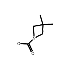 CC1(C)CN(C([O])=O)C1